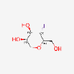 OC[C@H]1OC[C@@H](O)[C@@H](O)[C@@H]1I